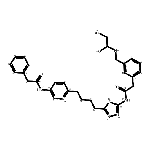 CC(C)CC(O)NCc1cccc(CC(=O)Nc2nnc(CCCCc3ccc(NC(=O)Cc4ccccc4)nn3)s2)c1